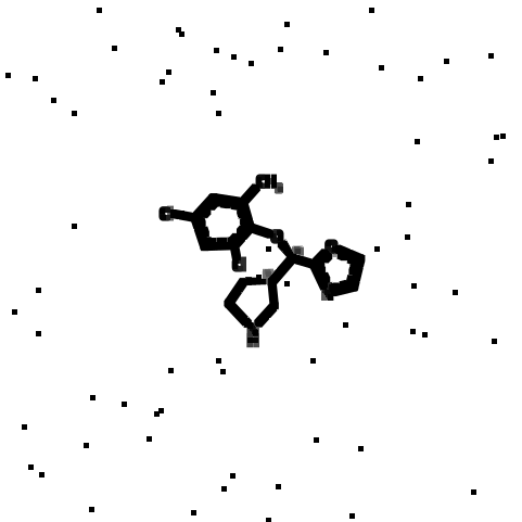 Cc1cc(Cl)cc(Cl)c1O[C@@H](c1ncco1)[C@H]1CCNC1